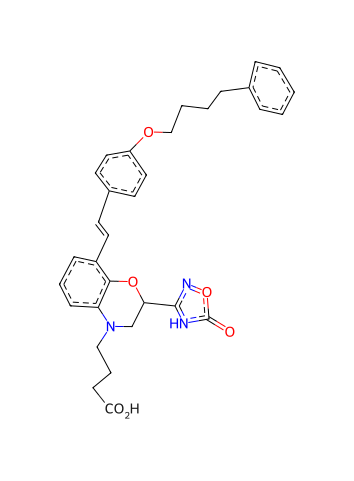 O=C(O)CCCN1CC(c2noc(=O)[nH]2)Oc2c(C=Cc3ccc(OCCCCc4ccccc4)cc3)cccc21